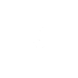 FC(F)=C(F)Oc1c(F)c(F)c(F)c(F)c1F